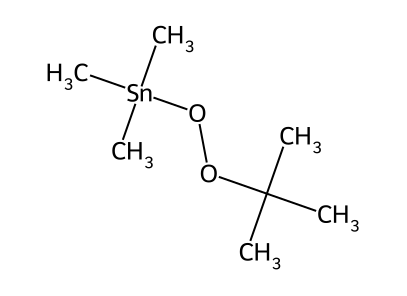 CC(C)(C)O[O][Sn]([CH3])([CH3])[CH3]